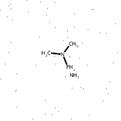 CN(C)P.N